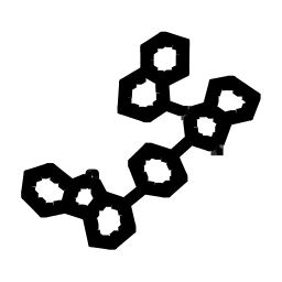 c1ccc2c(-n3c(-c4ccc(-c5cccc6c5oc5ccccc56)cc4)nc4ccccc43)cccc2c1